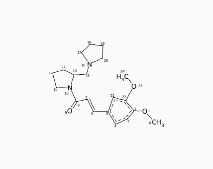 COc1ccc(C=CC(=O)N2CCCC2CN2CCCC2)cc1OC